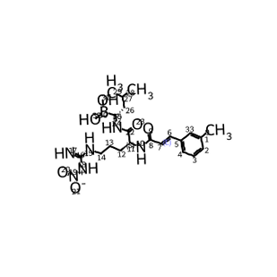 Cc1cccc(/C=C/C(=O)N[C@@H](CCCNC(=N)N[N+](=O)[O-])C(=O)N[C@@H](CC(C)C)B(O)O)c1